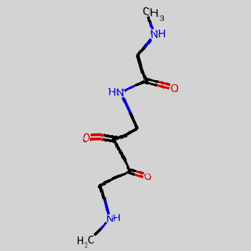 CNCC(=O)NCC(=O)C(=O)CNC